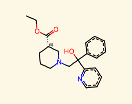 CCOC(=O)[C@H]1CCCN(CC(O)(c2ccccc2)c2ccccn2)C1